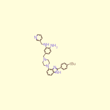 CC(C)(C)c1ccc(-c2nc3c(N4CCN(Cc5ccc(N)c(NCc6cccnc6)c5)CC4)cccc3[nH]2)cc1